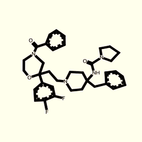 O=C(NC1(Cc2ccccc2)CCN(CCC2(c3ccc(F)c(F)c3)CN(C(=O)c3ccccc3)CCO2)CC1)N1CCCC1